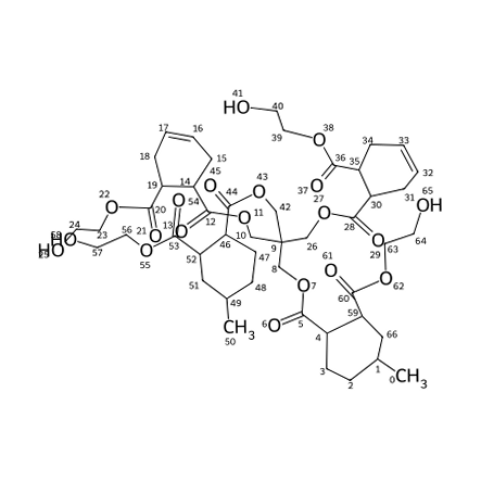 CC1CCC(C(=O)OCC(COC(=O)C2CC=CCC2C(=O)OCCO)(COC(=O)C2CC=CCC2C(=O)OCCO)COC(=O)C2CCC(C)CC2C(=O)OCCO)C(C(=O)OCCO)C1